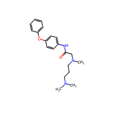 CN(C)CCCN(C)CC(=O)Nc1ccc(Oc2ccccc2)cc1